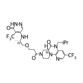 CC(C)CN1C(=O)[C@H]2CN(C(=O)CCOC[C@H](C)Nc3cn[nH]c(=O)c3C(F)(F)F)CCN2c2ncc(C(F)(F)F)cc21